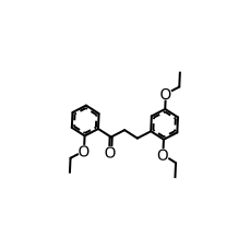 CCOc1ccc(OCC)c(CCC(=O)c2ccccc2OCC)c1